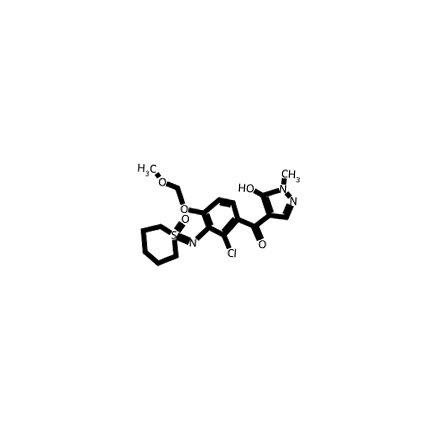 COCOc1ccc(C(=O)c2cnn(C)c2O)c(Cl)c1N=S1(=O)CCCCC1